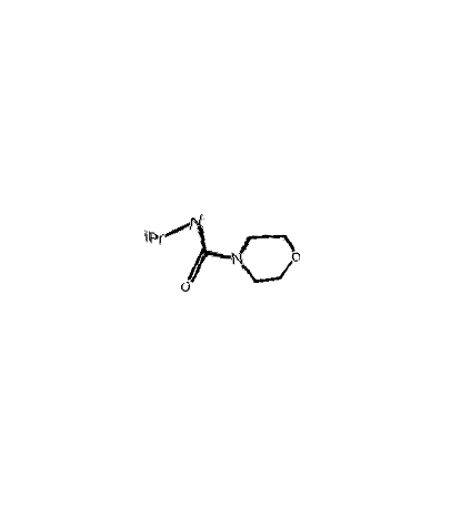 CC(C)[N]C(=O)N1CCOCC1